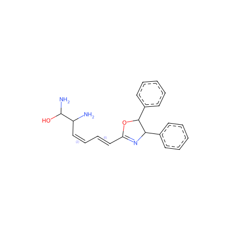 NC(O)C(N)/C=C\C=C\C1=NC(c2ccccc2)C(c2ccccc2)O1